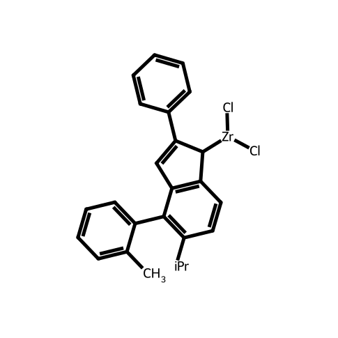 Cc1ccccc1-c1c(C(C)C)ccc2c1C=C(c1ccccc1)[CH]2[Zr]([Cl])[Cl]